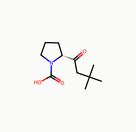 CC(C)(C)CC(=O)[C@H]1CCCN1C(=O)O